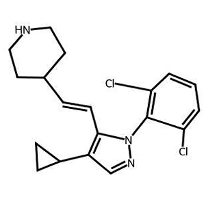 Clc1cccc(Cl)c1-n1ncc(C2CC2)c1/C=C/C1CCNCC1